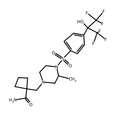 CC1CN(CC2(C(N)=O)CCC2)CCN1S(=O)(=O)c1ccc(C(O)(C(F)(F)F)C(F)(F)F)cc1